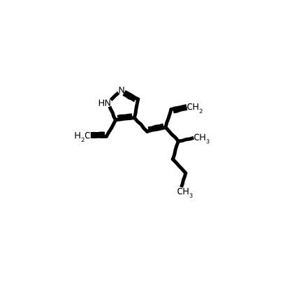 C=C/C(=C\c1cn[nH]c1C=C)C(C)CCC